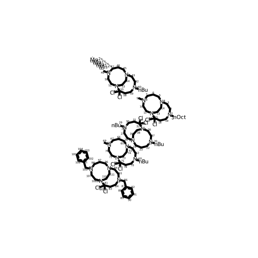 CCCCCCCCN1CCN2CCCN(C)CCN(CC2)C(Cl)(Cl)CC1.CCCCN1CCCN2CCN(CCCC)CCC(Cl)(Cl)N(CC1)CC2.CCCCN1CCN2CCCN(C)CCN(CC2)C(Cl)(Cl)CC1.CCCCN1CCN2CCCN(C)CCN(CC2)C(Cl)(Cl)CC1.ClC1(Cl)CCN(Cc2ccccc2)CCN2CCCN(Cc3ccccc3)CCN1CC2.[Mn+2].[Mn+2].[Mn+2].[Mn+2]